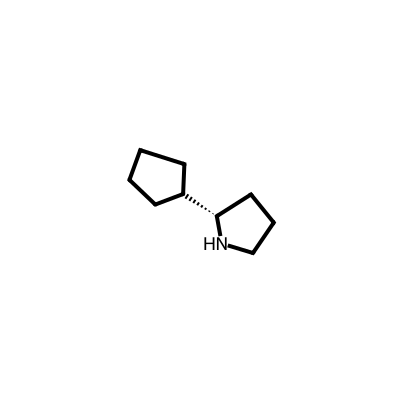 C1CCC([C@@H]2CCCN2)C1